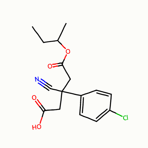 CCC(C)OC(=O)CC(C#N)(CC(=O)O)c1ccc(Cl)cc1